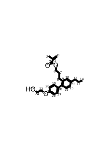 C=C(C)C(=O)OCCCc1cc(CCC)ccc1-c1ccc(OCCO)cc1